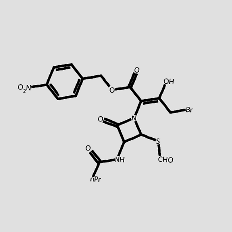 CCCC(=O)NC1C(=O)N(C(C(=O)OCc2ccc([N+](=O)[O-])cc2)=C(O)CBr)C1SC=O